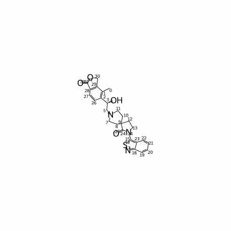 Cc1c([C@@H](O)CN2CCC3(CC2)CCN(c2snc4ccccc24)C3=O)ccc2c1COC2=O